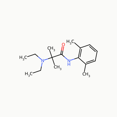 CCN(CC)C(C)(C)C(=O)Nc1c(C)cccc1C